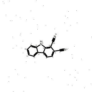 N#Cc1ccc2c([nH]c3ccccc32)c1C#N